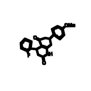 COc1ccc(C2CC(=O)C3=C(C2)NC(=O)CC3c2ccccc2F)cc1